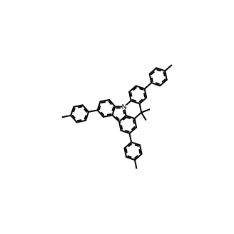 Cc1ccc(-c2ccc3c(c2)C(C)(C)c2cc(-c4ccc(C)cc4)cc4c5cc(-c6ccc(C)cc6)ccc5n-3c24)cc1